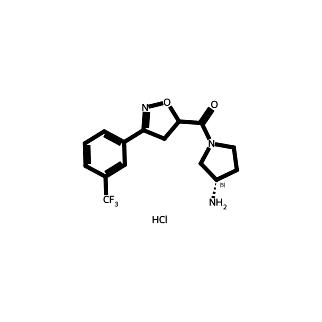 Cl.N[C@H]1CCN(C(=O)C2CC(c3cccc(C(F)(F)F)c3)=NO2)C1